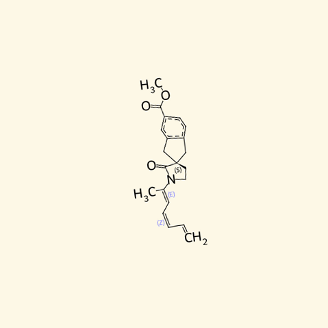 C=C/C=C\C=C(/C)N1CC[C@@]2(Cc3ccc(C(=O)OC)cc3C2)C1=O